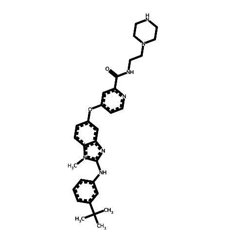 Cn1c(Nc2cccc(C(C)(C)C)c2)nc2cc(Oc3ccnc(C(=O)NCCN4CCNCC4)c3)ccc21